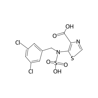 O=C(O)c1ncsc1N(Cc1cc(Cl)cc(Cl)c1)S(=O)(=O)O